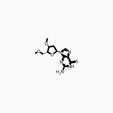 COC[C@H]1O[C@@H](n2cnc3c(=S)[nH]c(N)nc32)C[C@@H]1OC